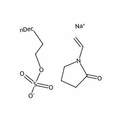 C=CN1CCCC1=O.CCCCCCCCCCCCOS(=O)(=O)[O-].[Na+]